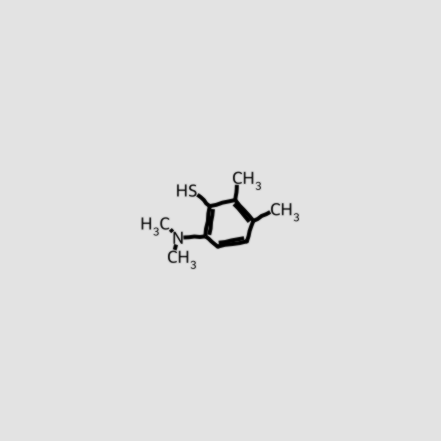 Cc1ccc(N(C)C)c(S)c1C